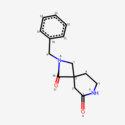 O=C1CC2(CCN1)CN(Cc1ccccc1)C2=O